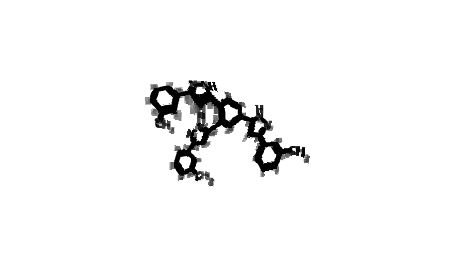 Cc1cccc(-c2cc(-c3ccc(-c4cc(-c5cccc(C)c5)n[nH]4)c(-c4cc(-c5cccc(C)c5)n[nH]4)c3)[nH]n2)c1